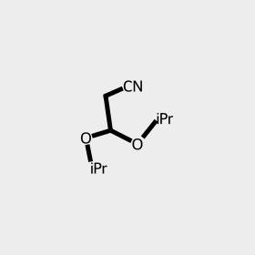 CC(C)OC(CC#N)OC(C)C